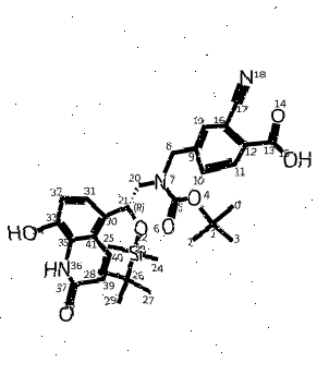 CC(C)(C)OC(=O)N(Cc1ccc(C(=O)O)c(C#N)c1)C[C@H](O[Si](C)(C)C(C)(C)C)c1ccc(O)c2[nH]c(=O)ccc12